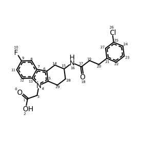 O=C(O)Cn1c2c(c3cc(F)ccc31)CC(NC(=O)CCc1cccc(Cl)c1)CC2